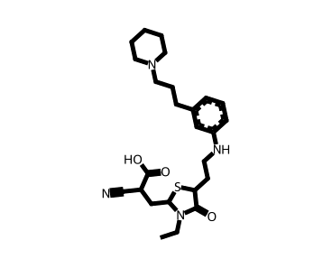 CCN1C(=O)C(CCNc2cccc(CCCN3CCCCC3)c2)SC1CC(C#N)C(=O)O